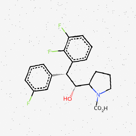 O=C(O)N1CCCC1[C@H](O)[C@H](c1cccc(F)c1)c1cccc(F)c1F